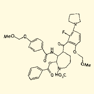 COCOc1ccc(C(=O)NC2C(C(=O)c3c(OCOC)ccc(N4CCCC4)c3F)CCCN(C(=O)O)C2OC(=O)c2ccccc2)cc1